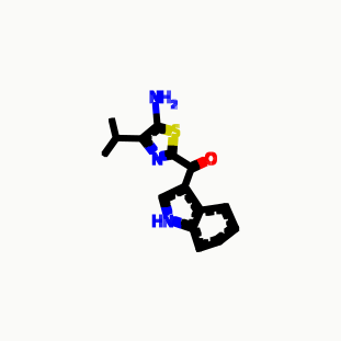 CC(C)c1nc(C(=O)c2c[nH]c3ccccc23)sc1N